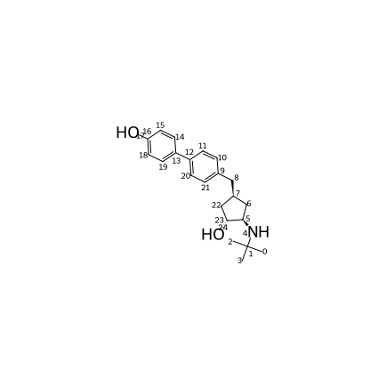 CC(C)(C)N[C@@H]1C[C@H](Cc2ccc(-c3ccc(O)cc3)cc2)C[C@H]1O